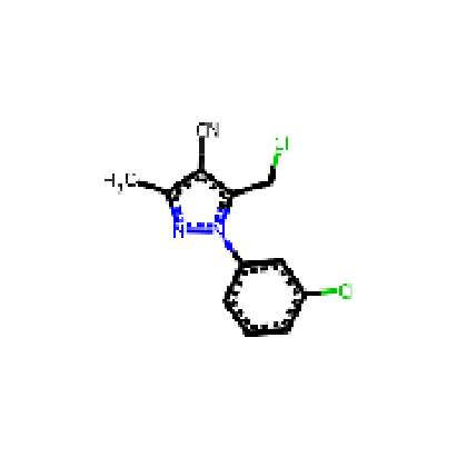 Cc1nn(-c2cccc(Cl)c2)c(CCl)c1C#N